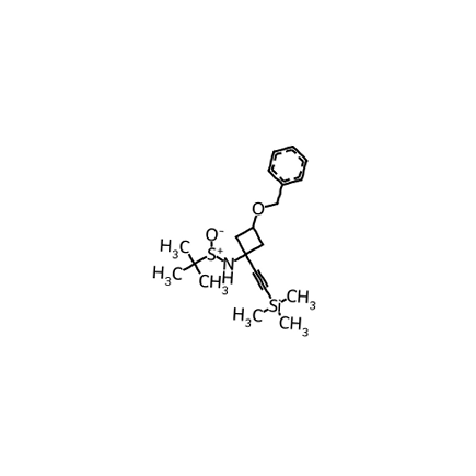 CC(C)(C)[S+]([O-])NC1(C#C[Si](C)(C)C)CC(OCc2ccccc2)C1